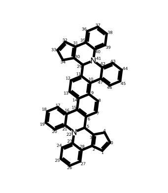 C1=CC2=C(C1)C1c3ccc4c5c(ccc4c3-c3ccccc3N1c1ccccc12)C1C2=C(C=CC2)c2ccccc2N1c1ccccc1-5